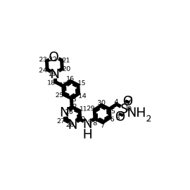 NS(=O)(=O)Cc1ccc(Nc2cc(-c3cccc(CN4CCOCC4)c3)ncn2)cc1